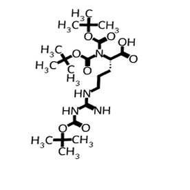 CC(C)(C)OC(=O)NC(=N)NCCC[C@@H](C(=O)O)N(C(=O)OC(C)(C)C)C(=O)OC(C)(C)C